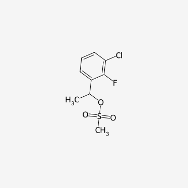 CC(OS(C)(=O)=O)c1cccc(Cl)c1F